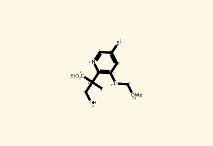 CCOC(=O)C(C)(CO)c1ncc(Br)cc1OCOC